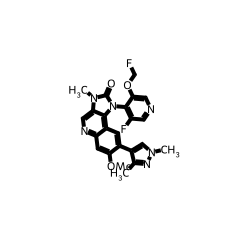 COc1cc2ncc3c(c2cc1-c1cn(C)nc1C)n(-c1c(F)cncc1OCF)c(=O)n3C